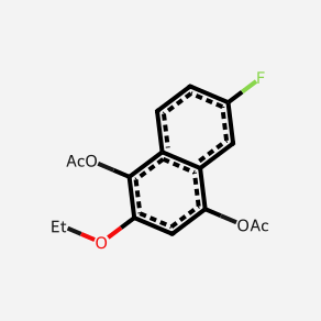 CCOc1cc(OC(C)=O)c2cc(F)ccc2c1OC(C)=O